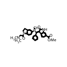 COC(=O)c1ccc2c(c1)NC(=O)/C2=C(/c1ccccc1)N(C)c1ccc2c(c1)CCN2C(=O)CN(C)C